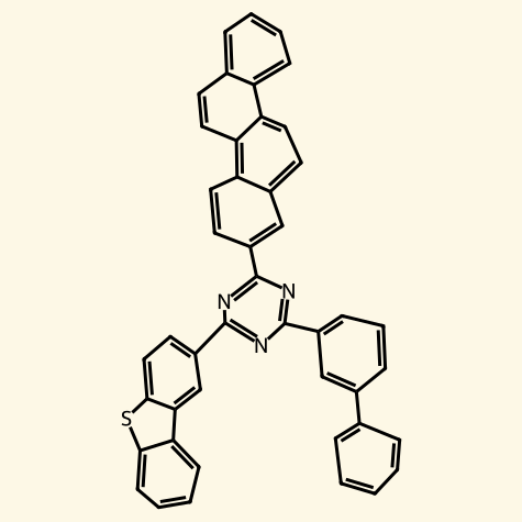 c1ccc(-c2cccc(-c3nc(-c4ccc5c(ccc6c7ccccc7ccc56)c4)nc(-c4ccc5sc6ccccc6c5c4)n3)c2)cc1